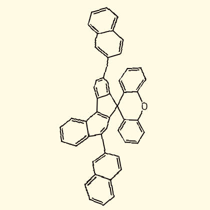 c1ccc2c(c1)Oc1ccccc1C21c2cc(-c3ccc4ccccc4c3)ccc2-c2c1cc(-c1ccc3ccccc3c1)c1ccccc21